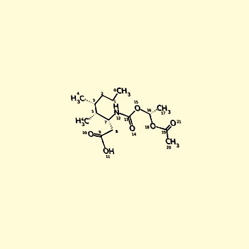 CCC[C@@H](C)[C@@H](C)[C@@H](CC(=O)O)NC(=O)O[C@H](C)OC(C)=O